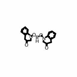 O=C1Cc2ccccc2N(OBON2CC(=O)Cc3ccccc32)C1